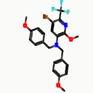 COc1ccc(CN(Cc2ccc(OC)cc2)c2cc(Br)c(C(F)(F)F)nc2OC)cc1